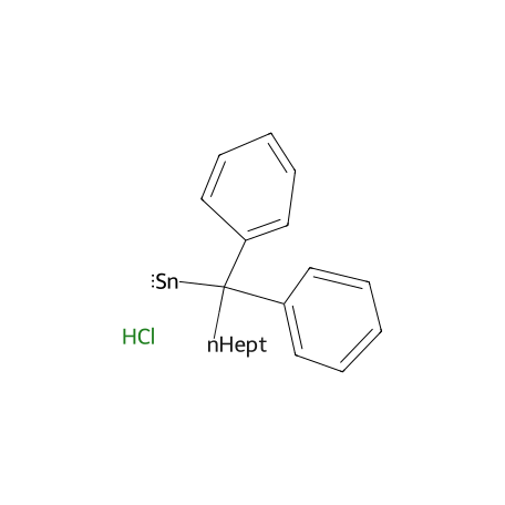 CCCCCCC[C]([Sn])(c1ccccc1)c1ccccc1.Cl